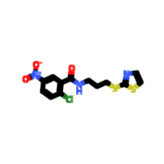 O=C(NCCCSc1nccs1)c1cc([N+](=O)[O-])ccc1Cl